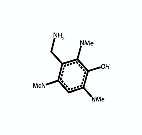 CNc1cc(NC)c(CN)c(NC)c1O